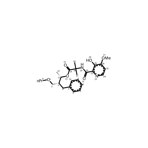 CCCOC[C@@H](Cc1ccccc1)[C@H](C)OC(=O)C(C)(C)NC(=O)c1nccc(OC)c1O